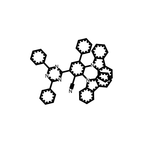 N#Cc1c(-c2nc(-c3ccccc3)nc(-c3ccccc3)n2)cc(-c2ccccc2)c(-n2c3ccccc3c3ccccc32)c1-n1c2ccccc2c2ccccc21